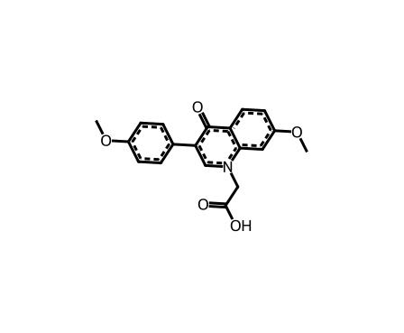 COc1ccc(-c2cn(CC(=O)O)c3cc(OC)ccc3c2=O)cc1